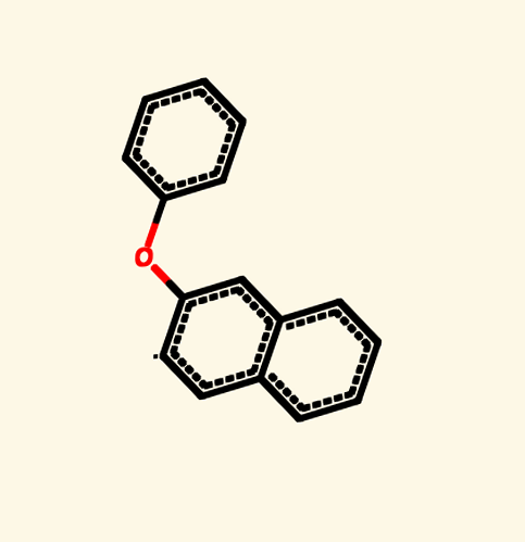 [c]1cc2ccccc2cc1Oc1ccccc1